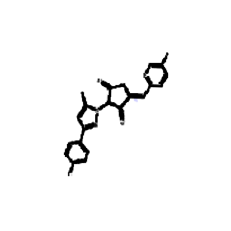 Cc1cc(-c2ccc(Cl)cc2)nn1C1C(=O)C/C(=C\c2ccc(F)cn2)C1=O